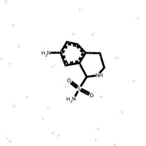 Nc1ccc2c(c1)C(S(N)(=O)=O)NCC2